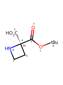 CC(C)(C)OC(=O)[C@@]1(C(=O)O)CCN1